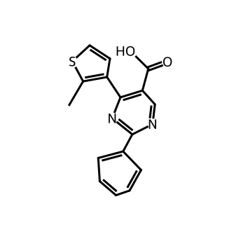 Cc1sccc1-c1nc(-c2ccccc2)ncc1C(=O)O